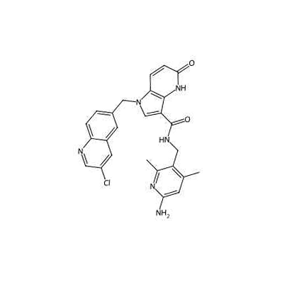 Cc1cc(N)nc(C)c1CNC(=O)c1cn(Cc2ccc3ncc(Cl)cc3c2)c2ccc(=O)[nH]c12